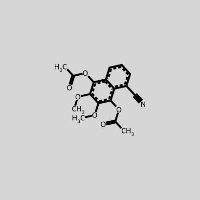 COc1c(OC)c(OC(C)=O)c2c(C#N)cccc2c1OC(C)=O